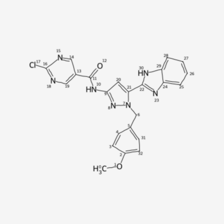 COc1ccc(Cn2nc(NC(=O)c3cnc(Cl)nc3)cc2-c2nc3ccccc3[nH]2)cc1